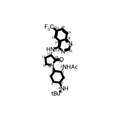 CC(=O)N[C@@H]1CC(NC(C)(C)C)CCC1N1CC[C@H](Nc2ncnc3ccc(C(F)(F)F)cc23)C1=O